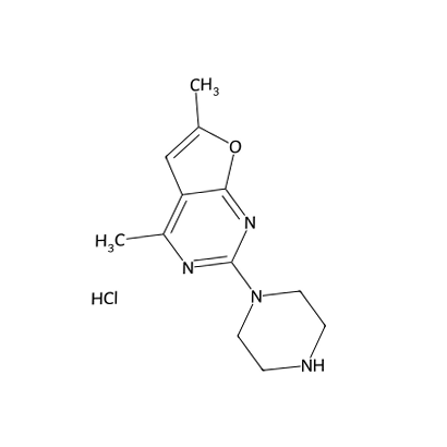 Cc1cc2c(C)nc(N3CCNCC3)nc2o1.Cl